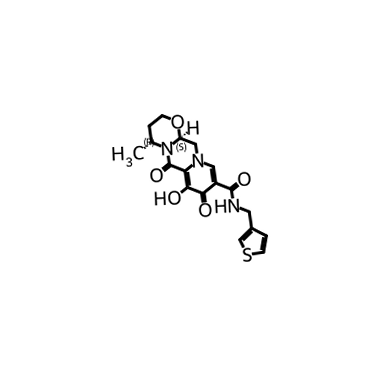 C[C@@H]1CCO[C@H]2Cn3cc(C(=O)NCc4ccsc4)c(=O)c(O)c3C(=O)N12